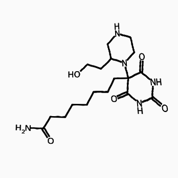 NC(=O)CCCCCCCC1(N2CCNCC2CCO)C(=O)NC(=O)NC1=O